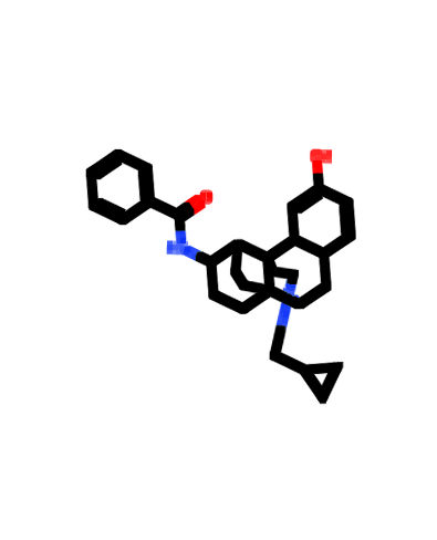 O=C(NC1CCC23CCC1C21CCN(CC2CC2)C3CC2C=CC(O)=CC21)c1ccccc1